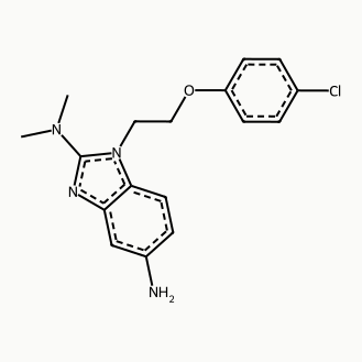 CN(C)c1nc2cc(N)ccc2n1CCOc1ccc(Cl)cc1